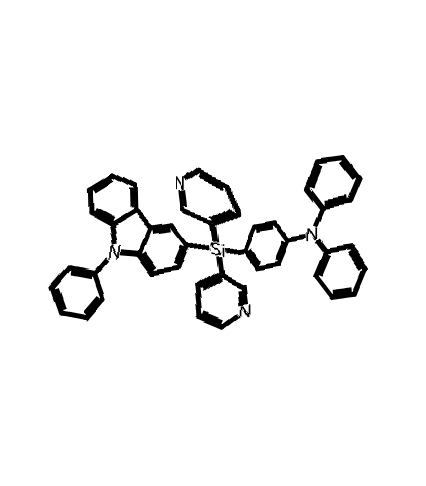 c1ccc(N(c2ccccc2)c2ccc([Si](c3cccnc3)(c3cccnc3)c3ccc4c(c3)c3ccccc3n4-c3ccccc3)cc2)cc1